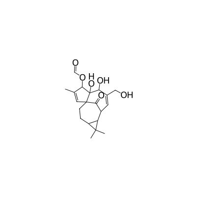 CC1=CC23CCC4C(C(C=C(CO)C(O)C2(O)C1OC=O)C3=O)C4(C)C